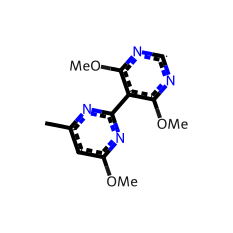 COc1cc(C)nc(-c2c(OC)n[c]nc2OC)n1